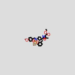 CCOC(=O)c1nc([C@@]2(Cc3cccc(Br)c3)CC[C@H](N(Cc3ccc(OC)cc3)S(C)(=O)=O)C2)oc1C